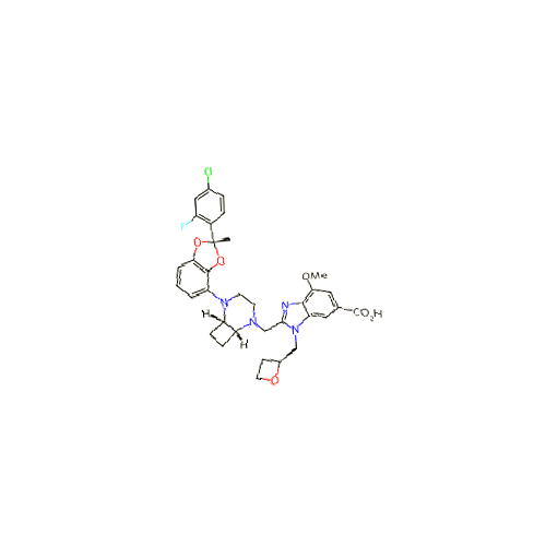 COc1cc(C(=O)O)cc2c1nc(CN1CCN(c3cccc4c3O[C@@](C)(c3ccc(Cl)cc3F)O4)[C@H]3CC[C@H]31)n2C[C@@H]1CCO1